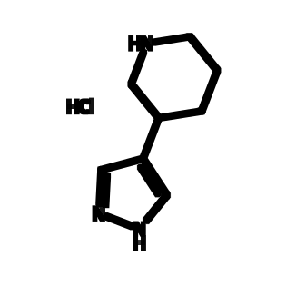 Cl.c1n[nH]cc1C1CCCNC1